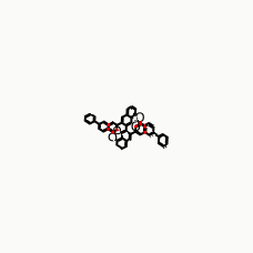 O=C(Oc1c(-c2c(-c3ccccc3)cc3ccccc3c2OC(=O)c2ccc(-c3ccccc3)cc2)c(-c2ccccc2)cc2ccccc12)c1ccc(-c2ccccc2)cc1